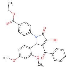 CCOC(=O)c1ccc(N2C(=O)C(O)=C(C(=O)c3ccccc3)C2c2ccc(OC)cc2OC)cc1